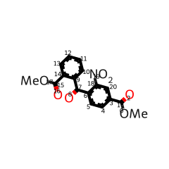 COC(=O)c1ccc(C(=O)c2ccccc2C(=O)OC)c([N+](=O)[O-])c1